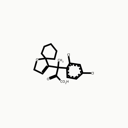 CC(C(=O)C(=O)O)(C1=CCOC12CCCCC2)c1ccc(Cl)cc1Cl